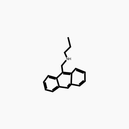 CCCNCc1c2ccccc2cc2ccccc12